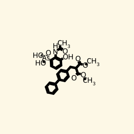 CC(=O)Nc1c(O)cccc1[As](=O)(O)O.COC(=O)C(Cc1ccc(-c2ccccc2)cc1)C(=O)OC